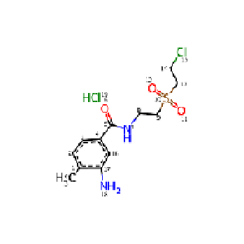 Cc1ccc(C(=O)NCCS(=O)(=O)CCCl)cc1N.Cl